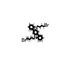 BrCCCCn1c2ccccc2c2cc3c(cc21)c1ccccc1n3CCCCBr